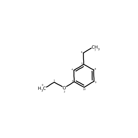 CCOc1[c]c(CC)ccc1